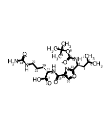 CC(C)C[C@H](NC(=O)OC(C)(C)C)c1nc(C(=O)N[C@@H](CCCNC(N)=O)C(=O)O)co1